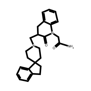 NC(=O)CN1C(=O)C(CN2CCC3(CCc4ccccc43)CC2)Cc2ccccc21